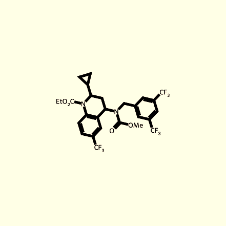 CCOC(=O)N1c2ccc(C(F)(F)F)cc2C(N(Cc2cc(C(F)(F)F)cc(C(F)(F)F)c2)C(=O)OC)CC1C1CC1